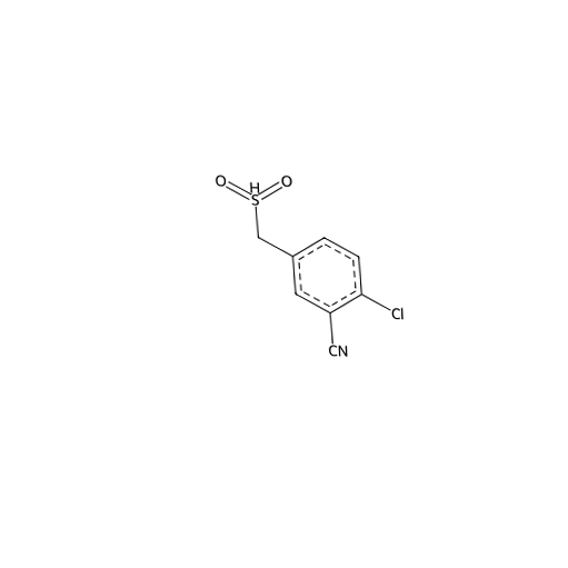 N#Cc1cc(C[SH](=O)=O)ccc1Cl